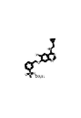 CCOC(=O)N=S(C)(=O)c1cccc(COc2cc3ncnc(NCC4CC4)c3cc2Br)c1